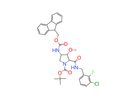 COC1C(NC(=O)OCC2c3ccccc3-c3ccccc32)CN(C(=O)OC(C)(C)C)C1C(=O)NCc1cccc(Cl)c1F